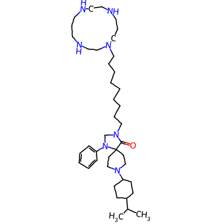 CC(C)C1CCC(N2CCC3(CC2)C(=O)N(CCCCCCCCCN2CCCNCCNCCCNCC2)CN3c2ccccc2)CC1